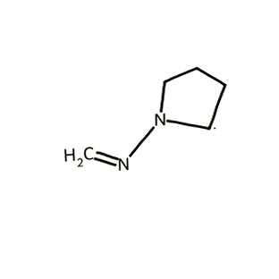 C=NN1[CH]CCC1